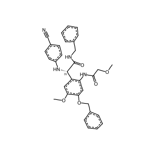 COCC(=O)Nc1cc(OCc2ccccc2)c(OC)cc1[C@H](Nc1ccc(C#N)cc1)C(=O)NCc1ccccc1